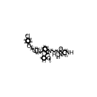 COc1ccccc1-c1cn(CCCNC(=O)C2(N)CCNCC2)c2cccc(CN3CCN(CCOc4ccc(Cl)cc4)CC3)c12